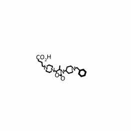 CC1C(N2CCN(CCCC(=O)O)CC2)OC(=O)N1C1CCN(Cc2ccccc2)CC1